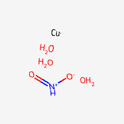 O.O.O.O=[NH+][O-].[Cu]